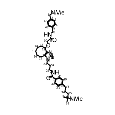 CNCc1ccc(CNC(=O)COC2CCCCCc3c2nnn3CCCNC(=O)c2ccc(CCCC(C)(C)NC)cc2)cc1